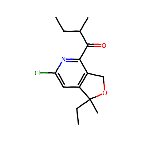 CCC(C)C(=O)c1nc(Cl)cc2c1COC2(C)CC